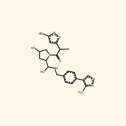 Cc1nocc1-c1ccc(CNC(O)C2CC(O)CN2C(=O)C(c2cc(C(C)(C)C)no2)C(C)C)cc1